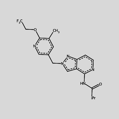 Cc1cc(Cn2cc3c(NC(=O)C(C)C)nccc3n2)cnc1OCC(F)(F)F